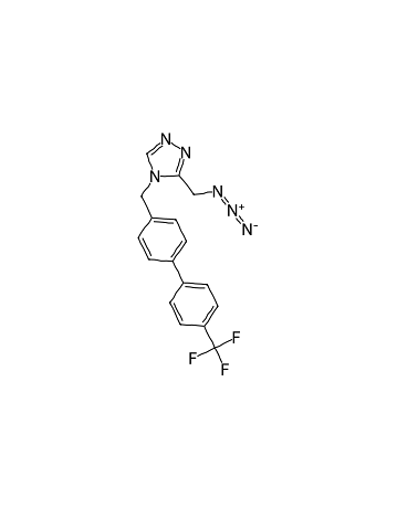 [N-]=[N+]=NCc1nncn1Cc1ccc(-c2ccc(C(F)(F)F)cc2)cc1